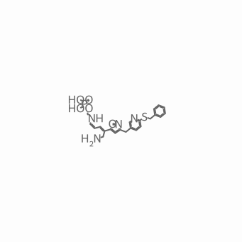 NC/C(=C\C=C/NCOP(=O)(O)O)c1cc(Cc2ccc(SCc3ccccc3)nc2)no1